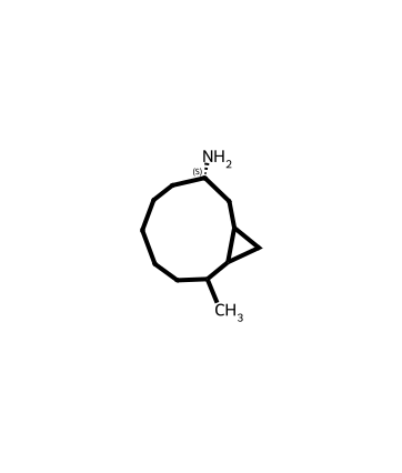 CC1CCCCC[C@H](N)CC2CC12